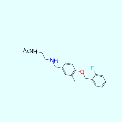 CC(=O)NCCNCc1ccc(OCc2ccccc2F)c(C)c1